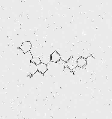 COc1ccc([C@@H](C)NC(=O)c2cccc(-c3cnc(N)c4nc(C5CCCNC5)cn34)c2)cc1